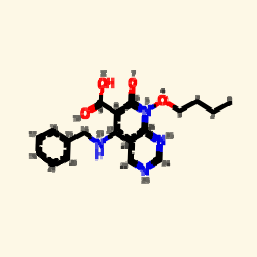 CCCCOn1c(=O)c(C(=O)O)c(NCc2ccccc2)c2cncnc21